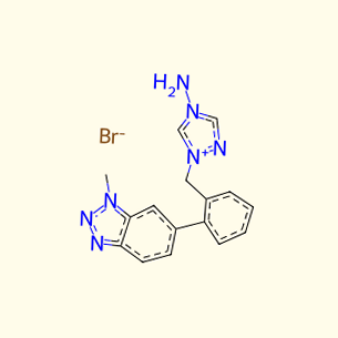 Cn1nnc2ccc(-c3ccccc3C[n+]3cn(N)cn3)cc21.[Br-]